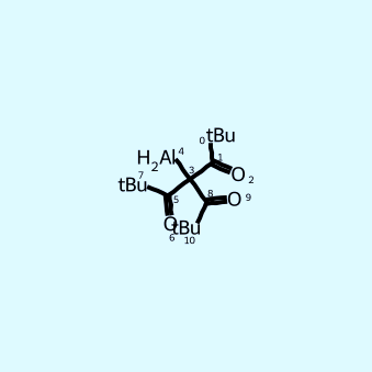 CC(C)(C)C(=O)[C]([AlH2])(C(=O)C(C)(C)C)C(=O)C(C)(C)C